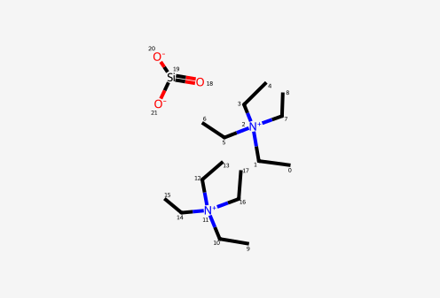 CC[N+](CC)(CC)CC.CC[N+](CC)(CC)CC.O=[Si]([O-])[O-]